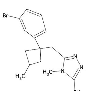 CC1CC(Cc2nnc(S)n2C)(c2cccc(Br)c2)C1